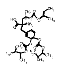 CCC(C)OC(=O)O[C@@H](C)CC(N)(Cc1ccc(OC(=O)OC(C)C(C)C)c(OC(=O)OC(C)C(C)C)c1)C(=O)O